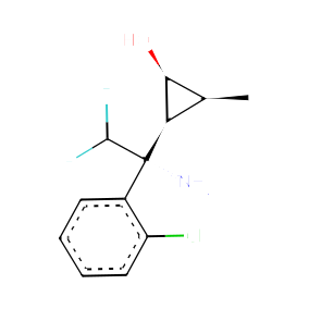 C[C@@H]1[C@H](O)[C@@H]1[C@@](N)(c1ccccc1Cl)C(F)F